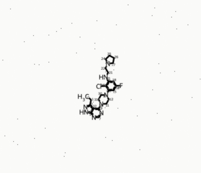 CCc1n[nH]c2ncnc(N3CCN(c4cc(F)cc(NCCN5CCCC5)c4Cl)CC3)c12